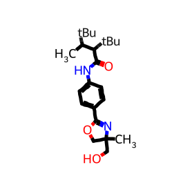 CC(C(C(=O)Nc1ccc(C2=NC(C)(CO)CO2)cc1)C(C)(C)C)C(C)(C)C